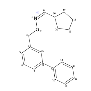 [C](=N/OCc1cccc(-c2ccccc2)c1)/C1CCCC1